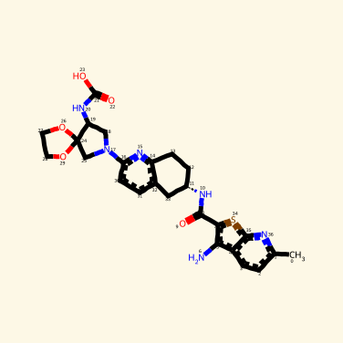 Cc1ccc2c(N)c(C(=O)N[C@H]3CCc4nc(N5CC(NC(=O)O)C6(C5)OCCO6)ccc4C3)sc2n1